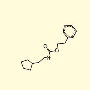 O=C([N]CCC1CCCC1)OCCc1ccccc1